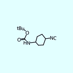 [C-]#[N+]C1CCC(NC(=O)OC(C)(C)C)CC1